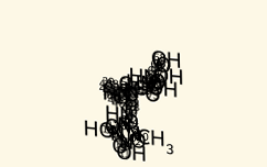 CC(=O)CN1CCN(CC(=O)O)CCN(CC(=O)O)CCN(CC(=O)NCC2CCC(C(=O)N[C@@H](Cc3c4ccccc4cc4ccccc34)C(=O)NCCOC[C@H](NC(=O)N[C@@H](CCCC(=O)O)C(=O)O)C(=O)O)CC2)CC1